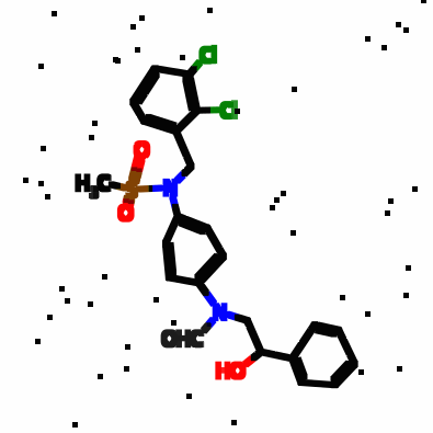 CS(=O)(=O)N(Cc1cccc(Cl)c1Cl)c1ccc(N(C=O)CC(O)c2ccccc2)cc1